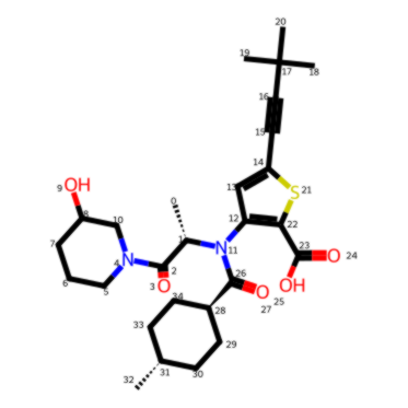 C[C@@H](C(=O)N1CCCC(O)C1)N(c1cc(C#CC(C)(C)C)sc1C(=O)O)C(=O)[C@H]1CC[C@H](C)CC1